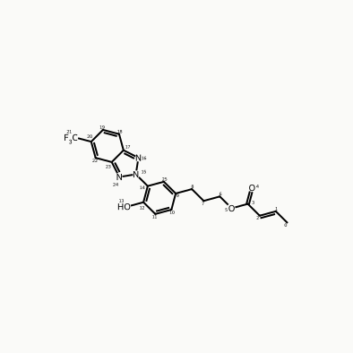 CC=CC(=O)OCCCc1ccc(O)c(-n2nc3ccc(C(F)(F)F)cc3n2)c1